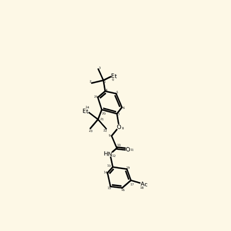 CCC(C)(C)c1ccc(OCC(=O)Nc2cccc(C(C)=O)c2)c(C(C)(C)CC)c1